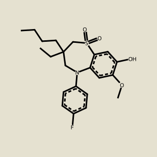 CCCCC1(CC)CN(c2ccc(F)cc2)c2cc(OC)c(O)cc2S(=O)(=O)C1